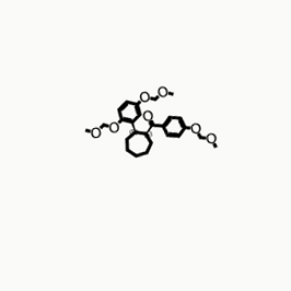 COCOc1ccc(C(=O)[C@H]2CCCCC[C@H]2c2cc(OCOC)ccc2OCOC)cc1